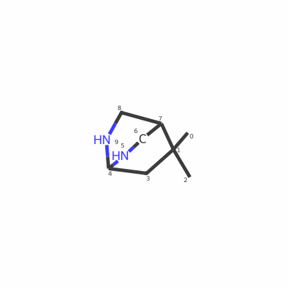 CC1(C)CC2NCC1CN2